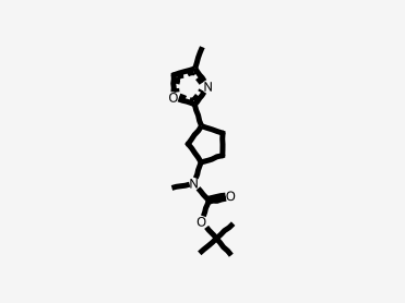 Cc1coc(C2CCC(N(C)C(=O)OC(C)(C)C)C2)n1